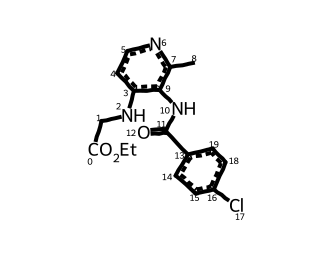 CCOC(=O)CNc1ccnc(C)c1NC(=O)c1ccc(Cl)cc1